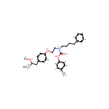 CCOC(Cc1ccc(OCCN(CCCCc2ccccc2)C(=O)Oc2ccc(C(F)(F)F)cc2)cc1)C(=O)O